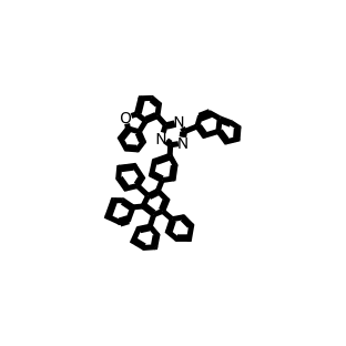 c1cccc(-c2c(-c3ccccc3)c(-c3ccccc3)cc(-c3ccc(-c4nc(-c5c#cc6ccccc6c5)nc(-c5cccc6oc7ccccc7c56)n4)cc3)c2-c2ccccc2)c#1